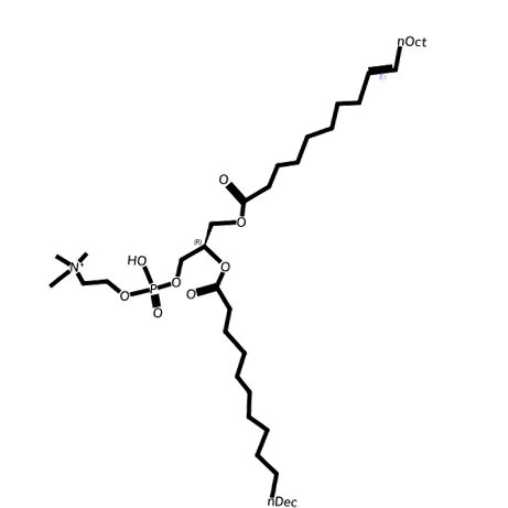 CCCCCCCC/C=C/CCCCCCCC(=O)OC[C@H](COP(=O)(O)OCC[N+](C)(C)C)OC(=O)CCCCCCCCCCCCCCCCCCC